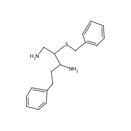 NCC(SCc1ccccc1)C(N)CCc1ccccc1